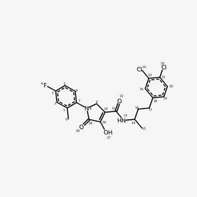 Cc1cc(F)ccc1N1CC(C(=O)NC(C)CCc2ccc(Cl)c(Cl)c2)=C(O)C1=O